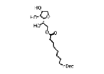 CCCCCCCCCCCCCCCCCC(=O)OCC(O)[C@H]1OC[C@@H](O)[C@@H]1O